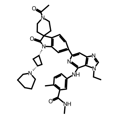 CCn1cnc2cc(-c3ccc4c(c3)N([C@H]3C[C@@H](N5CCCCC5)C3)C(=O)C43CCN(C(C)=O)CC3)nc(Nc3ccc(C)c(C(=O)NC)c3)c21